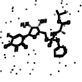 CC(C)OC(=O)[C@H](C)NP(=O)(OC[C@H]1O[C@@H](n2cc(F)c(=O)[nH]c2=O)[C@H](N)[C@@H]1O)Oc1ccccc1